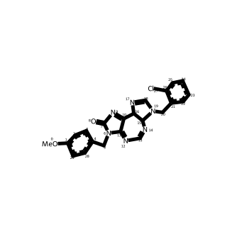 COc1ccc(CN2C(=O)N=C3C2=NC=NC2C3N=CN2Cc2ccccc2Cl)cc1